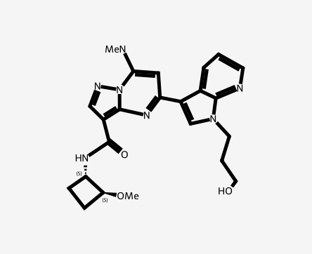 CNc1cc(-c2cn(CCCO)c3ncccc23)nc2c(C(=O)N[C@H]3CC[C@@H]3OC)cnn12